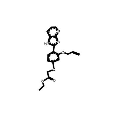 C=CCOc1cc(OCC(=O)OCC)ccc1-c1nc2ncccc2[nH]1